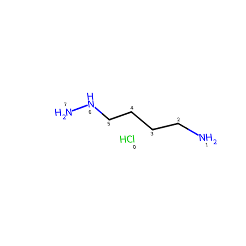 Cl.NCCCCNN